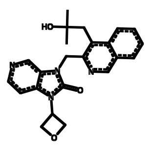 CC(C)(O)Cc1c(Cn2c(=O)n(C3COC3)c3ccncc32)ncc2ccccc12